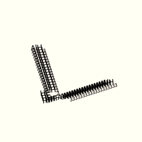 F.F.F.F.F.F.F.[AlH3].[AlH3].[AlH3].[AlH3].[AlH3].[AlH3].[AlH3].[AlH3].[AlH3].[AlH3].[AlH3].[AlH3].[AlH3].[AlH3].[AlH3].[AlH3].[AlH3].[AlH3].[AlH3].[AlH3].[AlH3].[AlH3].[AlH3].[AlH3].[AlH3].[AlH3].[AlH3].[AlH3].[AlH3].[AlH3].[AlH3].[AlH3].[AlH3].[AlH3].[AlH3].[AlH3].[AlH3]